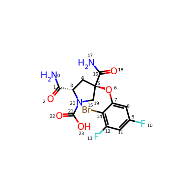 NC(=O)[C@@H]1C[C@](Oc2cc(F)cc(F)c2Br)(C(N)=O)CN1C(=O)O